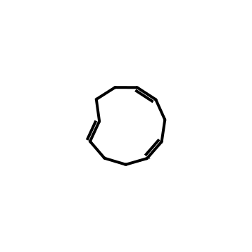 [C]1=C\C/C=C\CC/C=C/CC/1